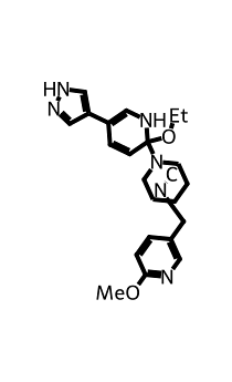 CCOC1(N2CC3CCC2CN3Cc2ccc(OC)nc2)C=CC(c2cn[nH]c2)=CN1